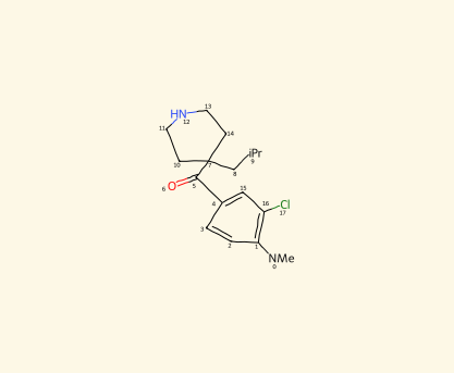 CNc1ccc(C(=O)C2(CC(C)C)CCNCC2)cc1Cl